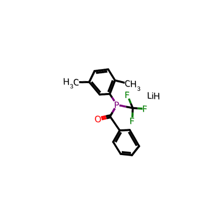 Cc1ccc(C)c(P(C(=O)c2ccccc2)C(F)(F)F)c1.[LiH]